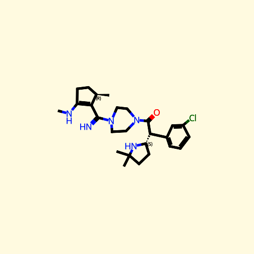 CNC1=C(C(=N)N2CCN(C(=O)C(c3cccc(Cl)c3)[C@@H]3CCC(C)(C)N3)CC2)[C@H](C)CC1